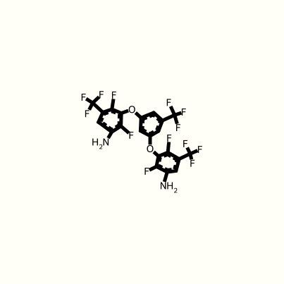 Nc1cc(C(F)(F)F)c(F)c(Oc2cc(Oc3c(F)c(N)cc(C(F)(F)F)c3F)cc(C(F)(F)F)c2)c1F